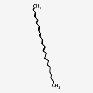 C=C/C=C/C=C/C=C/C=C/C=C/C=C/CCCCCCCCCC